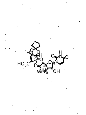 CO[C@H]1[C@@H](O)[C@H](n2ccc(=O)[nH]c2=O)O[C@@H]1[C@@H](O[C@H]1OC(C(=O)O)=C[C@@H]2OC3(CCCC3)O[C@H]12)C(N)=O